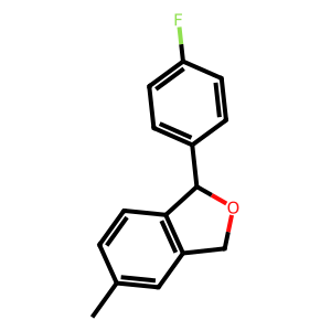 Cc1ccc2c(c1)COC2c1ccc(F)cc1